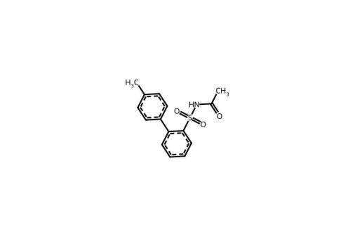 CC(=O)NS(=O)(=O)c1ccccc1-c1ccc(C)cc1